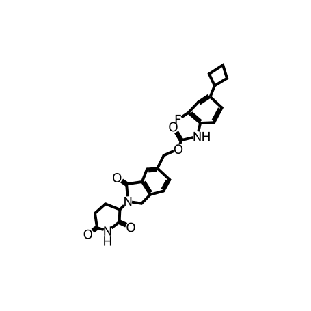 O=C1CCC(N2Cc3ccc(COC(=O)Nc4ccc(C5CCC5)cc4F)cc3C2=O)C(=O)N1